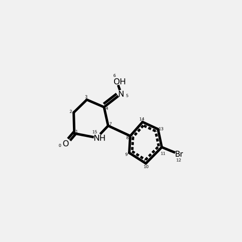 O=C1CC/C(=N\O)C(c2ccc(Br)cc2)N1